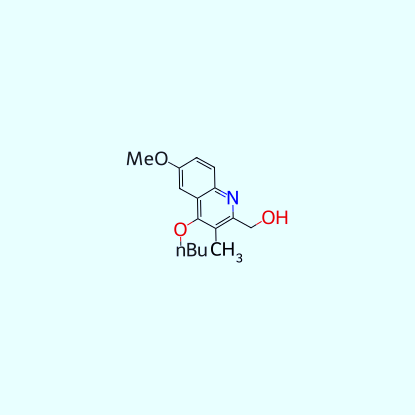 CCCCOc1c(C)c(CO)nc2ccc(OC)cc12